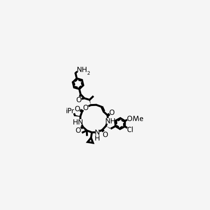 COc1ccc(C[C@H]2NC(=O)/C=C/C[C@@H](C(C)C3OC3c3ccc(CN)cc3)OC(=O)[C@H](CC(C)C)NC(=O)C(C)(C)C(C3CC3)NC2=O)cc1Cl